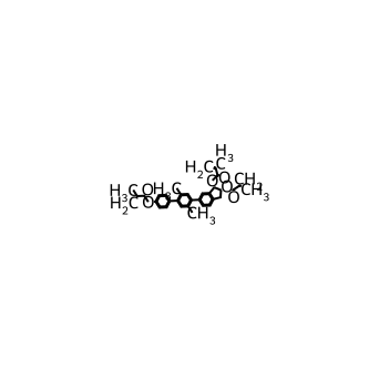 C=C(C)C(=O)Oc1ccc(-c2cc(C)c(-c3ccc4c(c3)C(OC(=O)C(=C)C)C(OC(=O)C(=C)C)C4)cc2C)cc1